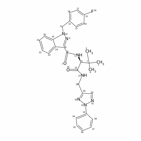 CC(C)(C)[C@H](NC(=O)c1nn(Cc2ccc(F)cc2)c2ccccc12)C(=O)NCc1cnn(-c2ccccc2)n1